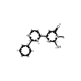 Cn1c(S)nc(-c2ccnc(-c3ccccc3)n2)cc1=O